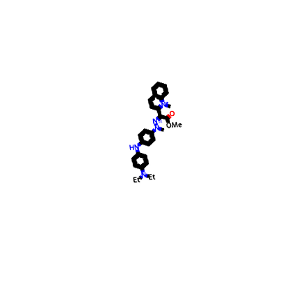 CCN(CC)c1ccc(Nc2ccc(N(C)/N=C(\C(=O)OC)c3ccc4ccccc4[n+]3C)cc2)cc1